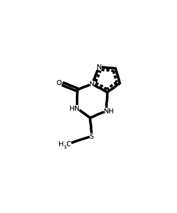 CSC1NC(=O)n2nccc2N1